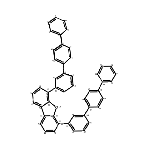 c1ccc(-c2ccc(-c3cccc(-c4cccc5c4oc4c(-c6cccc(-c7ccc(-c8ccccc8)cc7)c6)cccc45)c3)cc2)cc1